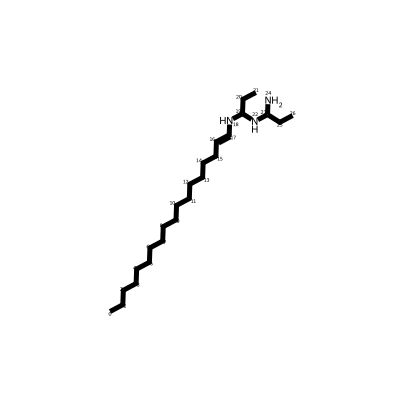 CCCCCCCCCCCCCCCC/C=C/NC(CC)NC(N)CC